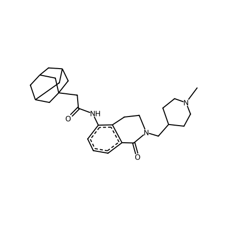 CN1CCC(CN2CCc3c(NC(=O)CC45CC6CC(CC(C6)C4)C5)cccc3C2=O)CC1